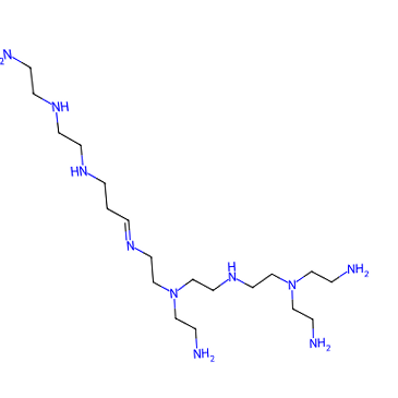 NCCNCCNCC/C=N/CCN(CCN)CCNCCN(CCN)CCN